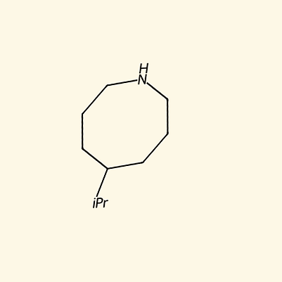 CC(C)C1CCCNCCC1